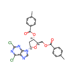 Cc1ccc(C(=O)OC[C@H]2O[C@H](n3cnc4c(Cl)nc(Cl)nc43)C[C@@H]2OC(=O)c2ccc(C)cc2)cc1